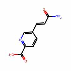 NC(=O)C=Cc1ccc(C(=O)O)nc1